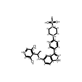 CC(Oc1ccc2[nH]nc(-c3ccc(N4CCN(S(C)(=O)=O)CC4)nc3)c2c1)c1c(Cl)cncc1Cl